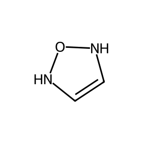 C1=CNON1